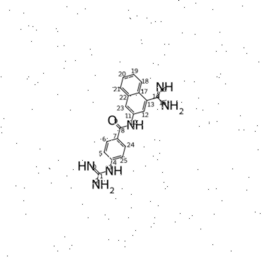 N=C(N)Nc1ccc(C(=O)Nc2cc(C(=N)N)c3ccccc3c2)cc1